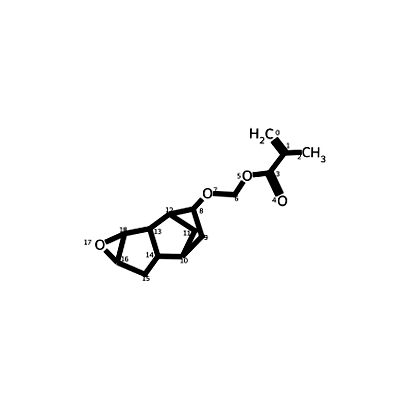 C=C(C)C(=O)OCOC1CC2CC1C1C2CC2OC21